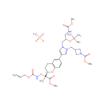 C=CCOC(=O)NOC(C)(C(=O)OC(C)(C)C)[C@H]1CCc2cc(-c3cn(CC(CNC(=O)OC(C)(C)C)O[Si](C)(C)C(C)(C)C)[n+](CC4CN(C(=O)OC(C)(C)C)C4)c3)ccc2O1.O=S(=O)([O-])C(F)(F)F